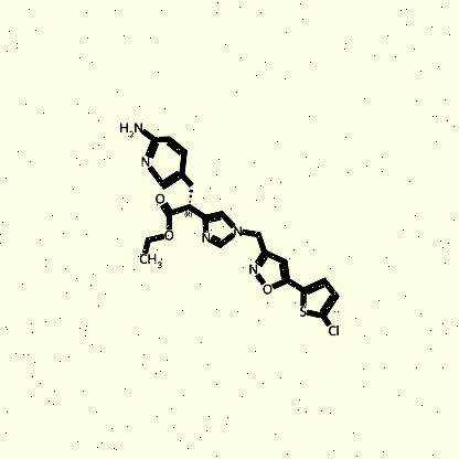 CCOC(=O)[C@H](Cc1ccc(N)nc1)c1cn(Cc2cc(-c3ccc(Cl)s3)on2)cn1